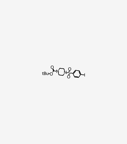 CC(C)(C)OC(=O)N1CCN(S(=O)(=O)c2ccc(I)cc2)CC1